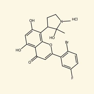 CN1CCC(c2c(O)cc(O)c3c(=O)cc(-c4cc(F)ccc4Br)oc23)C1(C)O.Cl